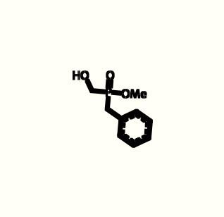 COP(=O)(CO)Cc1ccccc1